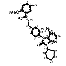 COc1ccc(F)cc1C(=O)NCc1ccc(-n2c(=O)n(C3CCCCC3)c3ncnc(N)c32)cc1